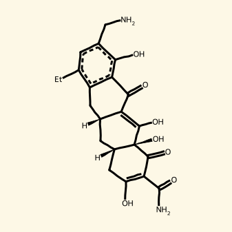 CCc1cc(CN)c(O)c2c1C[C@H]1C[C@H]3CC(O)=C(C(N)=O)C(=O)[C@@]3(O)C(O)=C1C2=O